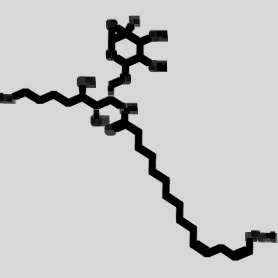 CCCCC/C=C\C/C=C\CCCCCCCCCC(=O)N[C@@H](COC1OC2O[C@@H]2C(O)C1O)[C@H](O)[C@H](O)CCCCCCCCCCCCCC